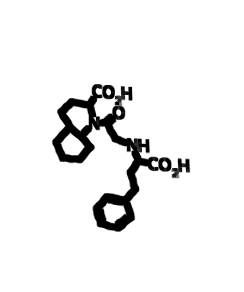 O=C(O)C(CCc1ccccc1)NCC(=O)N1C(C(=O)O)CCC2CCCCC21